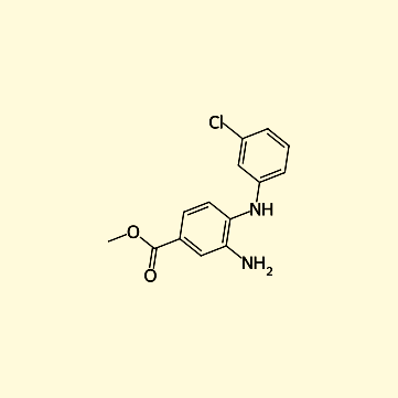 COC(=O)c1ccc(Nc2cccc(Cl)c2)c(N)c1